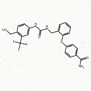 NC(=O)c1ccc(Oc2ccccc2CNC(=O)Nc2ccc(CO)c(C(F)(F)F)c2)cc1